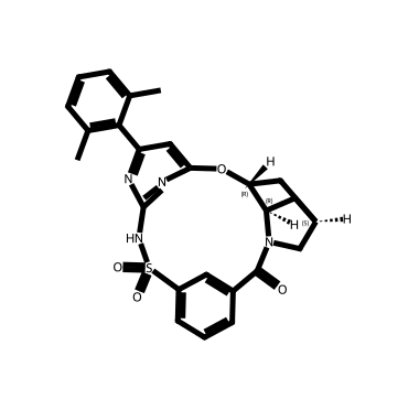 Cc1cccc(C)c1-c1cc2nc(n1)NS(=O)(=O)c1cccc(c1)C(=O)N1C[C@H]3C[C@@H]1[C@@H](C3)O2